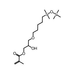 C=C(C)C(=O)OCC(O)COCCCCC[Si](C)(C)O[Si](C)(C)C